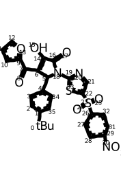 CC(C)(C)c1ccc(C2C(C(=O)c3ccco3)=C(O)C(=O)N2c2ncc(S(=O)(=O)c3ccc([N+](=O)[O-])cc3)s2)cc1